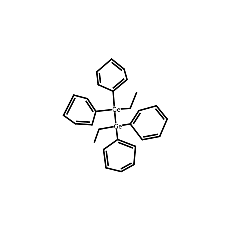 C[CH2][Ge]([c]1ccccc1)([c]1ccccc1)[Ge]([CH2]C)([c]1ccccc1)[c]1ccccc1